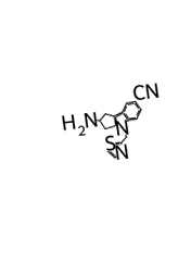 N#Cc1ccc2c(c1)c1c(n2Cc2nccs2)CC(N)C1